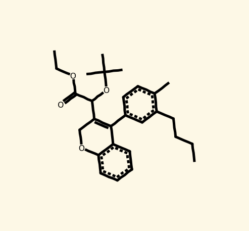 CCCCc1cc(C2=C(C(OC(C)(C)C)C(=O)OCC)COc3ccccc32)ccc1C